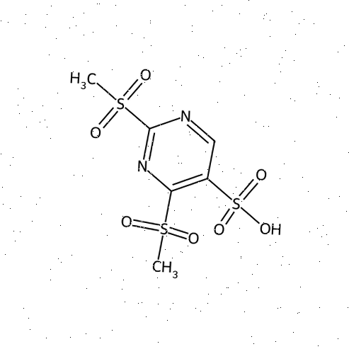 CS(=O)(=O)c1ncc(S(=O)(=O)O)c(S(C)(=O)=O)n1